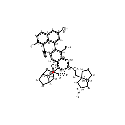 C#Cc1c(F)ccc2cc(O)cc(-c3ncc4c(N5CC6CCC(C5)N6C(=O)OC)nc(OC[C@@]56CCCN5C[C@H](F)C6)nc4c3F)c12